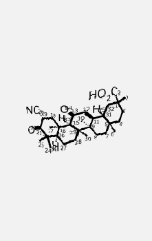 CC1(C(=O)O)CC[C@]2(C)CC[C@]3(C)C(=CC(=O)[C@@H]4[C@@]5(C)C[C@@H](C#N)C(=O)C(C)(C)[C@@H]5CC[C@]43C)[C@@H]2C1